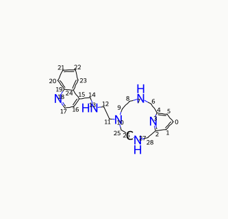 c1cc2nc(c1)CNCCN(CCNCc1ccnc3ccccc13)CCNC2